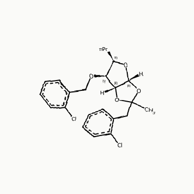 CCC[C@H]1O[C@@H]2OC(C)(Cc3ccccc3Cl)O[C@@H]2[C@H]1OCc1ccccc1Cl